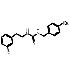 CC(C)(C)c1ccc(CNC(=S)NCCc2cccc(F)c2)cc1